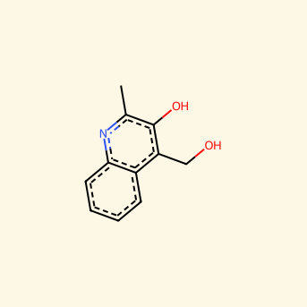 Cc1nc2ccccc2c(CO)c1O